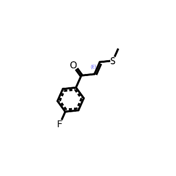 CS/C=C/C(=O)c1ccc(F)cc1